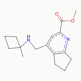 COC(=O)c1cc(CNC2(C)CCC2)c2c(n1)CCC2